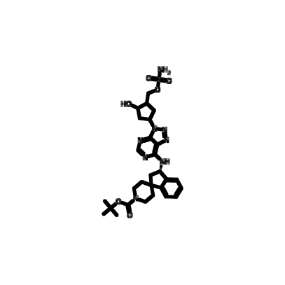 CC(C)(C)OC(=O)N1CCC2(CC1)C[C@H](Nc1ncnc3c1nnn3C1CC(O)C(COS(N)(=O)=O)C1)c1ccccc12